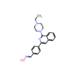 CCN1CCN(c2nc(-c3ccc(C=NO)cc3)cc3ccccc23)CC1